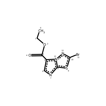 CCOC(=O)c1cnc2sc(Br)nn12